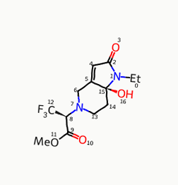 CCN1C(=O)C=C2CN([C@@H](C(=O)OC)C(F)(F)F)CC[C@]21O